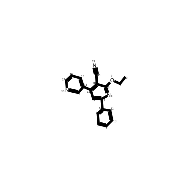 CCOc1nc(-c2ccccc2)cc(-c2cccnc2)c1C#N